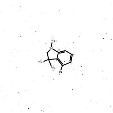 CC(C)(C)N1CC(C(C)(C)C)(C(C)(C)C)c2c(Br)cccc21